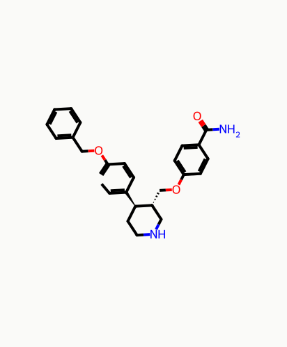 C=C(/C=C\C(=C/C)[C@@H]1CCNC[C@H]1COc1ccc(C(N)=O)cc1)OCc1ccccc1